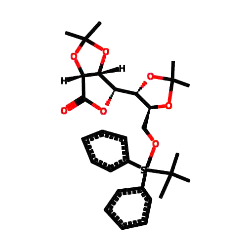 CC1(C)O[C@@H]([C@@H]2OC(=O)[C@@H]3OC(C)(C)O[C@H]23)[C@H](CO[Si](c2ccccc2)(c2ccccc2)C(C)(C)C)O1